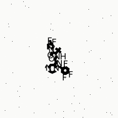 CN1CCCn2c(-c3cc(F)c(F)cc3F)nc(C(=O)N[C@H](C(=O)N3CCC(F)(F)C3)C(C)(C)C)c2C1